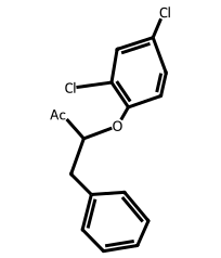 CC(=O)C(Cc1ccccc1)Oc1ccc(Cl)cc1Cl